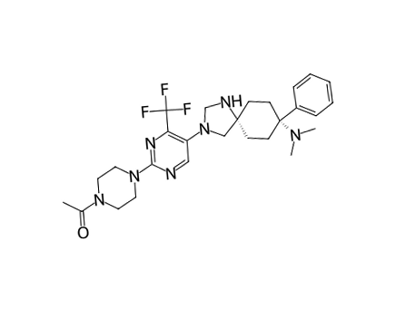 CC(=O)N1CCN(c2ncc(N3CN[C@]4(CC[C@@](c5ccccc5)(N(C)C)CC4)C3)c(C(F)(F)F)n2)CC1